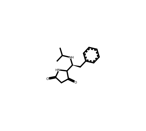 CC(C)N[C@@H](Cc1ccccc1)C1NC(=O)CC1=O